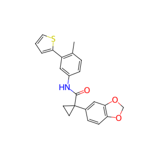 Cc1ccc(NC(=O)C2(c3ccc4c(c3)OCO4)CC2)cc1-c1cccs1